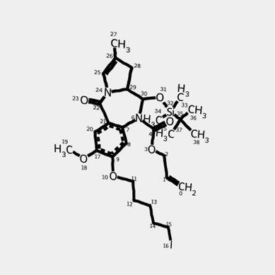 C=CCOC(=O)N1c2cc(OCCCCCI)c(OC)cc2C(=O)N2C=C(C)CC2C1O[Si](C)(C)C(C)(C)C